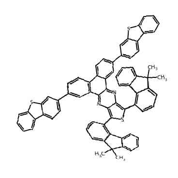 CC1(C)c2ccccc2-c2c(-c3sc(-c4cccc5c4-c4ccccc4C5(C)C)c4nc5c6cc(-c7ccc8c(c7)sc7ccccc78)ccc6c6ccc(-c7ccc8c(c7)sc7ccccc78)cc6c5nc34)cccc21